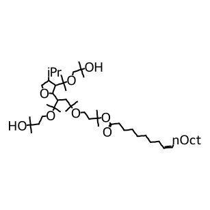 CCCCCCCC/C=C\CCCCCCCC(=O)OC(C)(C)CCOC(C)(C)CC(C1OCC(C(C)C)C1C(C)(C)OCC(C)(C)O)C(C)(C)OCCC(C)(C)O